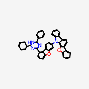 C1=CCC(C2N=C(c3cccc4oc5cc(-n6c7ccccc7c7ccc8c9ccccc9oc8c76)ccc5c34)NC(c3ccccc3)N2)C=C1